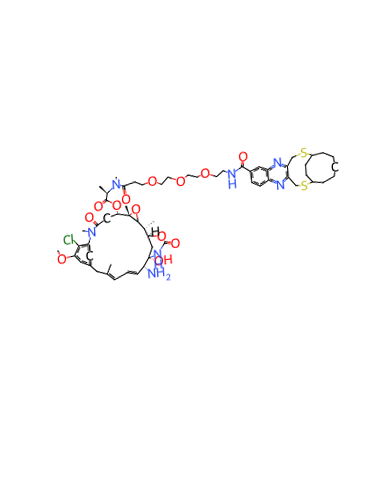 COc1cc2cc(c1Cl)N(C)C(=O)C[C@H](OC(=O)[C@@H](C)N(C)C(=O)CCOCCOCCOCCNC(=O)c1ccc3nc4c(nc3c1)CSC1CCCCCC(CC1)SC4)[C@]1(C)OC1[C@H](C)[C@@H]1C[C@@](O)(NC(=O)O1)[C@H](N)/C=C/C=C(\C)C2